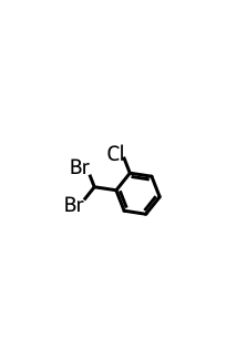 Clc1ccccc1C(Br)Br